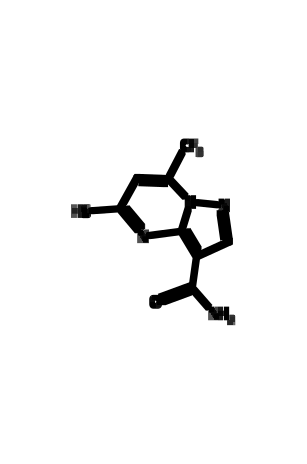 NC(=O)c1cnn2c(C(F)(F)F)cc(S)nc12